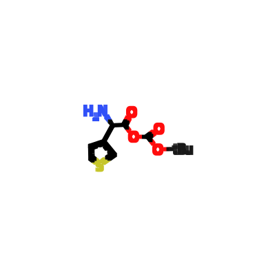 CC(C)(C)OC(=O)OC(=O)[C@H](N)c1ccsc1